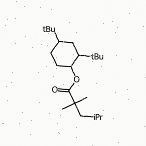 CC(C)CC(C)(C)C(=O)OC1CCC(C(C)(C)C)CC1C(C)(C)C